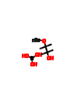 CCCCOC(C)(C)C(C)(C)O.OB(O)O